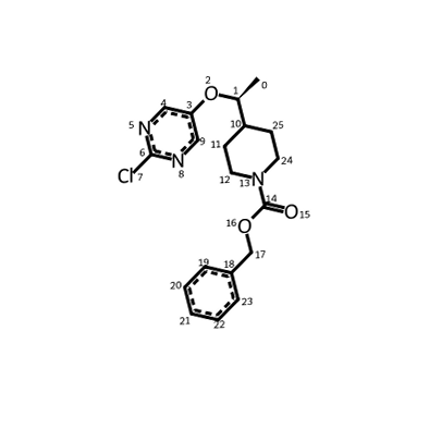 C[C@H](Oc1cnc(Cl)nc1)C1CCN(C(=O)OCc2ccccc2)CC1